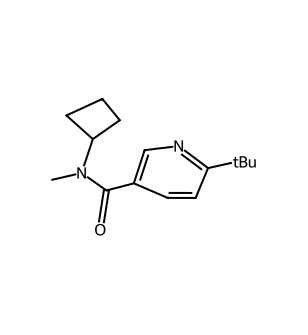 CN(C(=O)c1ccc(C(C)(C)C)nc1)C1CCC1